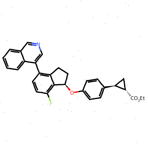 CCOC(=O)[C@H]1C[C@@H]1c1ccc(O[C@@H]2CCc3c(-c4cncc5ccccc45)ccc(F)c32)cc1